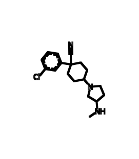 CNC1CCN(C2CCC(C#N)(c3cccc(Cl)c3)CC2)C1